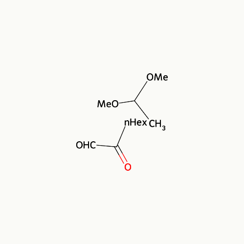 CCCCCCC(=O)C=O.COC(C)OC